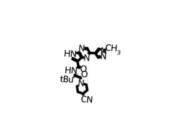 Cn1cc(-c2cnc3[nH]cc(C(=O)N[C@@H](C(=O)N4CCC(C#N)CC4)C(C)(C)C)c3n2)cn1